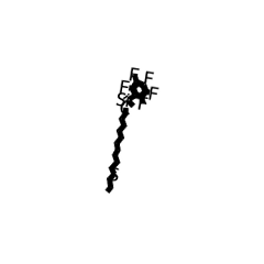 CCCSCCCCCCCCCCC[Si](C)(C)c1c(F)c(F)c(F)c(F)c1F